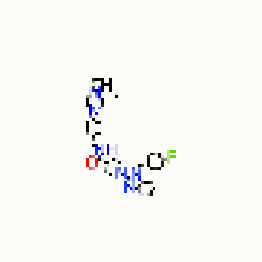 CN1CCN(c2ccc(CNC(=O)C3CCN(c4nc5ccccc5n4Cc4ccc(F)cc4)CC3)cc2)CC1